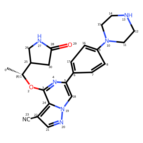 C[C@@H](Oc1nc(-c2ccc(N3CCNCC3)cc2)cn2ncc(C#N)c12)C1CNC(=O)C1